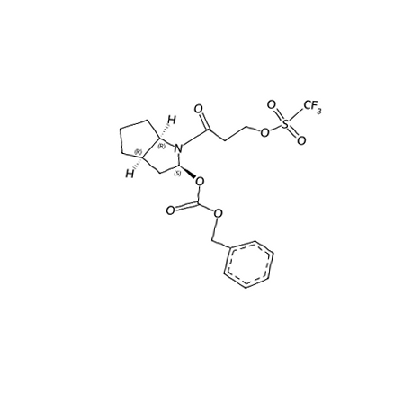 O=C(OCc1ccccc1)O[C@H]1C[C@H]2CCC[C@H]2N1C(=O)CCOS(=O)(=O)C(F)(F)F